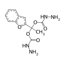 CC(OC(=O)NN)(OC(=O)NN)c1cc2ccccc2o1